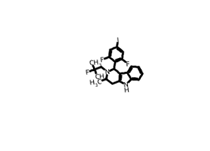 CC1Cc2[nH]c3ccccc3c2C(c2c(F)cc(I)cc2F)N1CC(C)(C)F